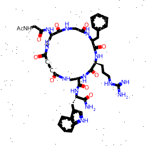 CC(=O)NCC(=O)NC1CNC(=O)CCC(=O)NCC(C(=O)N[C@@H](Cc2c[nH]c3ccccc23)C(N)=O)NC(=O)[C@H](CCCNC(=N)N)NC(=O)C(Cc2ccccc2)NC(=O)CNC1=O